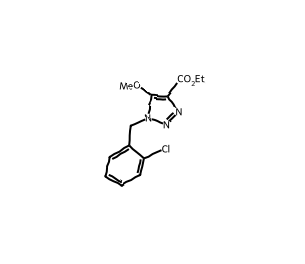 CCOC(=O)c1nnn(Cc2ccccc2Cl)c1OC